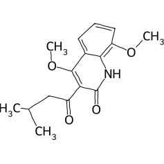 COc1c(C(=O)CC(C)C)c(=O)[nH]c2c(OC)cccc12